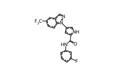 O=C(Nc1cccc(F)c1)c1cc(-n2ncc3cc(C(F)(F)F)ccc32)c[nH]1